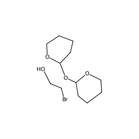 C1CCC(OC2CCCCO2)OC1.OCCBr